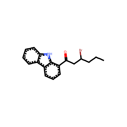 CCCC(Br)CC(=O)c1cccc2c1[nH]c1ccccc12